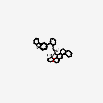 c1ccc(NC(NCc2ccccc2-c2ccc3sc4ccccc4c3c2)c2c3ccccc3cc3c2ccc2ccccc23)cc1